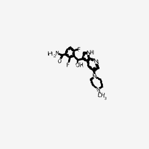 CN1CCN(c2cnc3[nH]cc(C(O)c4c(F)ccc(C(N)=O)c4F)c3c2)CC1